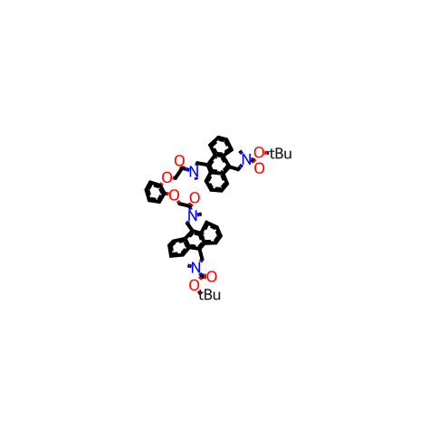 CN(Cc1c2ccccc2c(CN(C)C(=O)OC(C)(C)C)c2ccccc12)C(=O)COc1ccccc1OCC(=O)N(C)Cc1c2ccccc2c(CN(C)C(=O)OC(C)(C)C)c2ccccc12